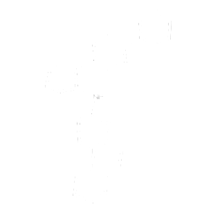 c1ccc(-c2ccc(-c3ccccc3Nc3ccc4c(ccc5ccccc54)c3)cc2)cc1